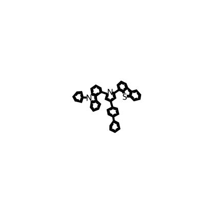 c1ccc(-c2ccc(-c3cc(-c4cccc5c4sc4ccccc45)nc(-c4cccc5c4c4ccccc4n5-c4ccccc4)c3)cc2)cc1